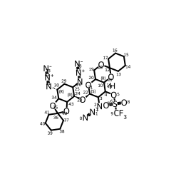 [N-]=[N+]=NC1C(OS(=O)(=O)C(F)(F)F)[C@@H]2OC3(CCCCC3)OCC2O[C@@H]1O[C@@H]1C(N=[N+]=[N-])C[C@@H](N=[N+]=[N-])C2OC3(CCCCC3)OC21